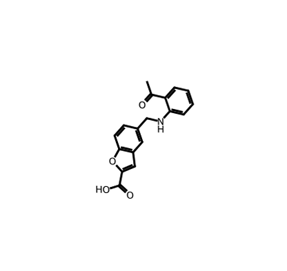 CC(=O)c1ccccc1NCc1ccc2oc(C(=O)O)cc2c1